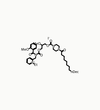 CCCCCCCCCCCCCCCCCC(=O)N1CCN(C(=O)OCC(COC(=O)N(Cc2cccc[n+]2CC)C(=O)c2ccccc2OC)OC)CC1.[I-]